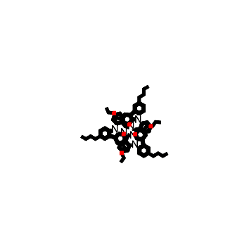 CCCCc1ccc2c(c1)c1cc(CCCC)ccc1n2-c1ccccc1-c1nc(-c2ccccc2-n2c3ccc(CCCC)cc3c3cc(CCCC)ccc32)nc(-c2ccccc2-n2c3ccc(CCCC)cc3c3cc(CCCC)ccc32)n1